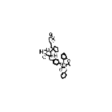 CC(=O)N1C(c2ccccc2)N(c2ccc(C[C@H](NC(=O)C3(CCCCS(C)(=O)=O)CCCC3)C(=O)O)cc2)C(=O)[C@H]1Cc1ccccc1